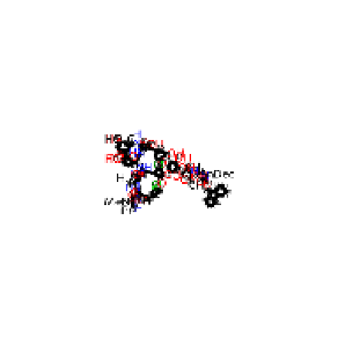 CCCCCCCCCCN(CC=N[C@@]1(C)C[C@H](O[C@@H]2[C@@H](O)[C@H](O)[C@@H](CO)C[C@H]2Oc2c3cc4cc2Oc2ccc(cc2Cl)[C@@H](O)[C@@H]2NC(=O)[C@H](NC(=O)[C@@H]4NC(=O)[C@H](C)NC(=O)C(NC(=O)[C@@H](CC(C)C)NC)[C@H](O)c4ccc(c(Cl)c4)O3)c3ccc(O)c(c3)-c3c(O)cc(O)cc3[C@@H](C(=O)O)NC2=O)O[C@@H](C)[C@H]1O)C(=O)OCC1c2ccccc2-c2ccccc21